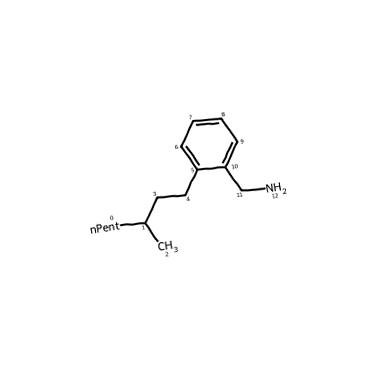 CCCCCC(C)CCc1ccccc1CN